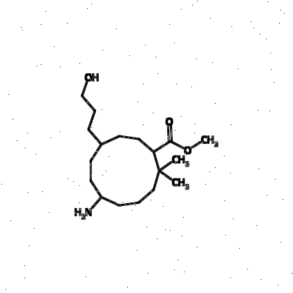 COC(=O)C1CCC(CCCO)CCC(N)CCCC1(C)C